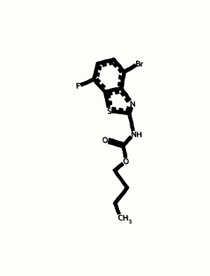 CCCCOC(=O)Nc1nc2c(Br)ccc(F)c2s1